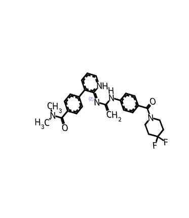 C=C(/N=c1\[nH]cccc1-c1ccc(C(=O)N(C)C)cc1)Nc1ccc(C(=O)N2CCC(F)(F)CC2)cc1